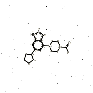 CC(=O)N1CCN(c2cc(C3CCCC3)cc3[nH]ncc23)CC1